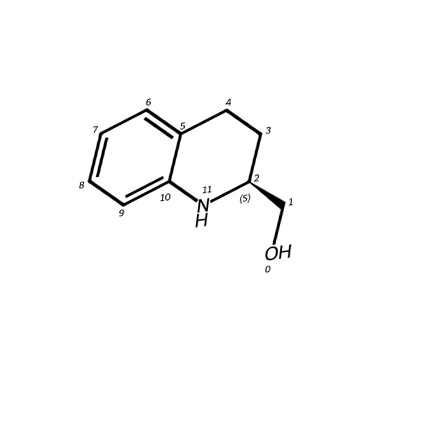 OC[C@@H]1CCc2ccccc2N1